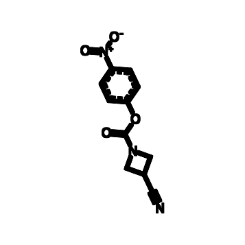 N#CC1CN(C(=O)Oc2ccc([N+](=O)[O-])cc2)C1